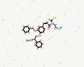 CO[C@@H](COc1ccc(C=C2SC(=S)N(CC(=O)O)C2=O)cc1OCc1ccccc1)c1ccccc1